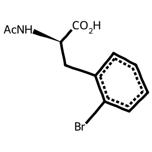 CC(=O)N[C@H](Cc1ccccc1Br)C(=O)O